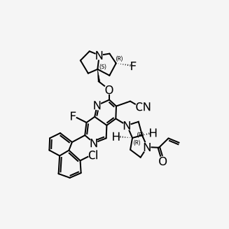 C=CC(=O)N1CC[C@@H]2[C@H]1CN2c1c(CC#N)c(OC[C@@]23CCCN2C[C@H](F)C3)nc2c(F)c(-c3cccc4cccc(Cl)c34)ncc12